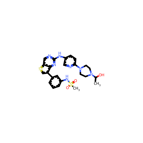 CC(O)N1CCN(c2ccc(Nc3ncc4scc(-c5cccc(NS(C)(=O)=O)c5)c4n3)cn2)CC1